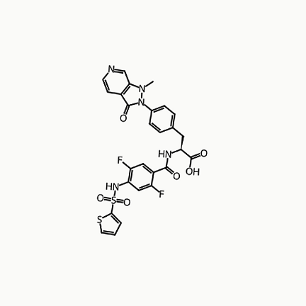 Cn1c2cnccc2c(=O)n1-c1ccc(C[C@H](NC(=O)c2cc(F)c(NS(=O)(=O)c3cccs3)cc2F)C(=O)O)cc1